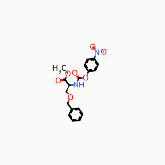 COC(=O)[C@H](COCc1ccccc1)NC(=O)Oc1ccc([N+](=O)[O-])cc1